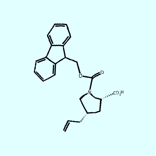 C=CC[C@H]1C[C@@H](C(=O)O)N(C(=O)OCC2c3ccccc3-c3ccccc32)C1